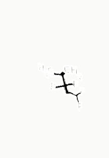 C=C(C)C(F)(F)C[C](F)F